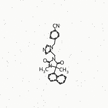 CN1C(=O)N(Cc2cncn2Cc2ccc(C#N)cc2)C(=O)C1(C)c1cccc2ccccc12